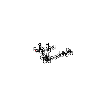 CC(C)[C@H](NC(=O)CCOCCOCCOCCOCCNC(=O)CCN1C(=O)C=CC1=O)C(=O)N[C@@H](C)C(=O)Nc1ccc(C(=O)N(CCCNC(=O)OCC[Si](C)(C)C)[C@@H](c2cc(-c3cc(F)ccc3F)cn2Cc2ccccc2)C(C)(C)C)cc1